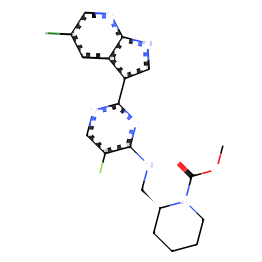 COC(=O)N1CCCC[C@H]1CNc1nc(-c2c[nH]c3ncc(Cl)cc23)ncc1F